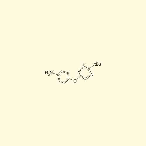 CC(C)(C)c1ncc(Oc2ccc(N)cc2)cn1